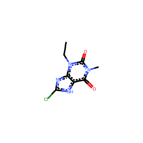 CCn1c(=O)n(C)c(=O)c2[nH]c(Cl)nc21